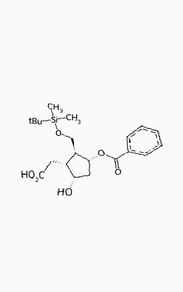 CC(C)(C)[Si](C)(C)OC[C@@H]1[C@@H](CC(=O)O)[C@@H](O)C[C@H]1OC(=O)c1ccccc1